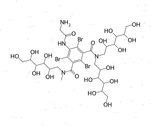 CN(CC(O)C(O)C(O)C(O)CO)C(=O)c1c(Br)c(NC(=O)CN)c(Br)c(C(=O)N(CC(O)C(O)C(O)C(O)CO)CC(O)C(O)C(O)C(O)CO)c1Br